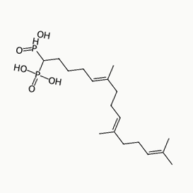 CC(C)=CCCC(C)=CCCC(C)=CCCCC([PH](=O)O)P(=O)(O)O